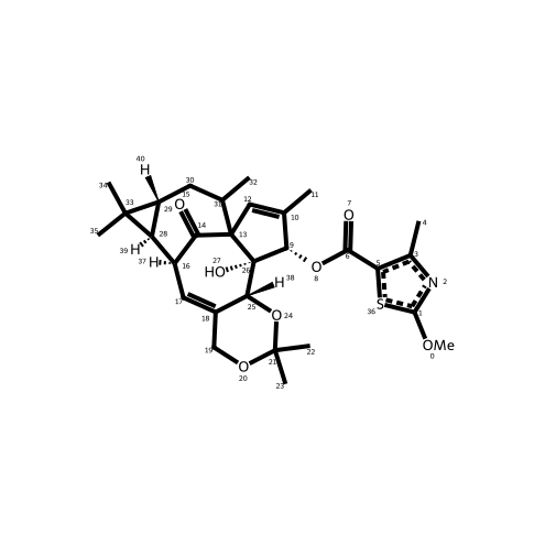 COc1nc(C)c(C(=O)O[C@H]2C(C)=CC34C(=O)[C@@H](C=C5COC(C)(C)O[C@H]5[C@]23O)[C@@H]2[C@@H](CC4C)C2(C)C)s1